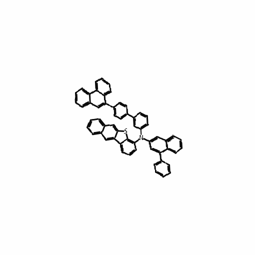 c1ccc(-c2cc(N(c3cccc(-c4ccc(-c5cc6ccccc6c6ccccc56)cc4)c3)c3cccc4c3sc3cc5ccccc5cc34)cc3ccccc23)cc1